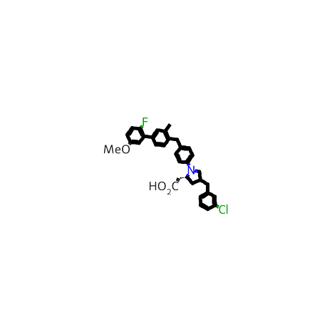 COc1ccc(F)c(-c2ccc(Cc3ccc(N4CC(Cc5cccc(Cl)c5)C[C@@H]4CC(=O)O)cc3)c(C)c2)c1